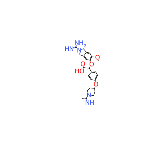 COc1cc2c(cc1OC(C(=O)O)c1ccc(OC3CCN(C(C)=N)CC3)cc1)CN(C(=N)N)C2